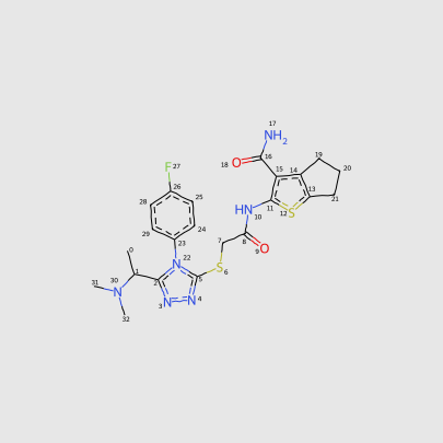 CC(c1nnc(SCC(=O)Nc2sc3c(c2C(N)=O)CCC3)n1-c1ccc(F)cc1)N(C)C